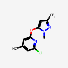 Cn1nc(C(F)(F)F)cc1Oc1cc(C#N)cc(Cl)n1